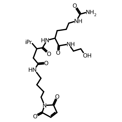 CC(C)C(CC(=O)NCCCCN1C(=O)C=CC1=O)C(=O)NC(CCCNC(N)=O)C(=O)NCCO